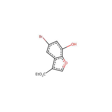 CCOC(=O)c1coc2c(O)cc(Br)cc12